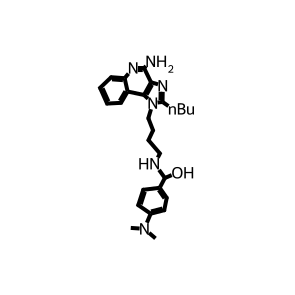 CCCCc1nc2c(N)nc3ccccc3c2n1CCCCNC(O)c1ccc(N(C)C)cc1